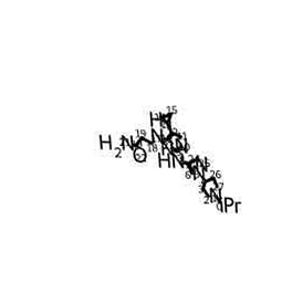 CC(C)N1CCC(n2cc(Nc3ncc(C4CC4)c(NCCC(N)=O)n3)cn2)CC1